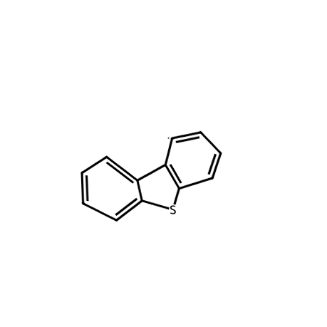 [c]1cccc2sc3ccccc3c12